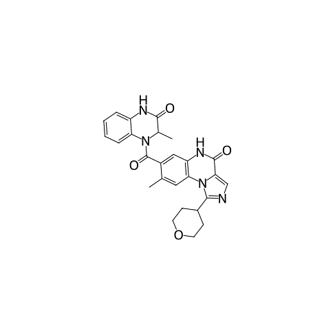 Cc1cc2c(cc1C(=O)N1c3ccccc3NC(=O)C1C)[nH]c(=O)c1cnc(C3CCOCC3)n12